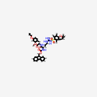 C=CCOc1ccc(C[C@H](NC(=O)[C@H](CCCNC(=N)NS(=O)(=O)c2c(C)c(C)c3c(c2C)CCC(C)(C)O3)NC(=O)OCC2c3ccccc3-c3ccccc32)C(=O)OC)cc1